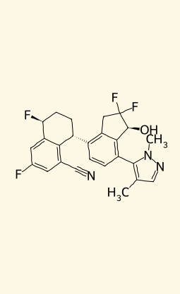 Cc1cnn(C)c1-c1ccc([C@H]2CC[C@H](F)c3cc(F)cc(C#N)c32)c2c1[C@H](O)C(F)(F)C2